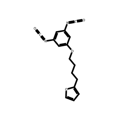 O=C=Nc1cc(N=C=O)cc(OCCCCc2ccco2)c1